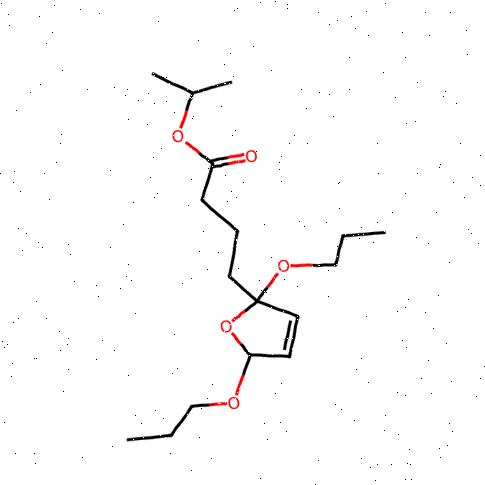 CCCOC1C=CC(CCCC(=O)OC(C)C)(OCCC)O1